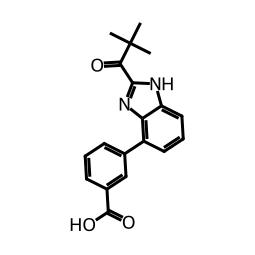 CC(C)(C)C(=O)c1nc2c(-c3cccc(C(=O)O)c3)cccc2[nH]1